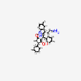 Cc1ccc2[nH]c(C(C3=C(O)C(c4ccccc4)CC3=O)c3ccccc3)c(CCN)c2c1